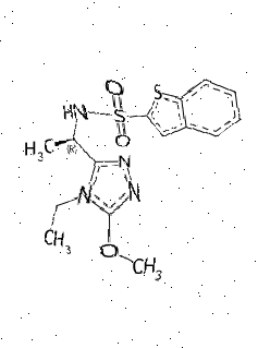 CCn1c(OC)nnc1[C@@H](C)NS(=O)(=O)c1cc2ccccc2s1